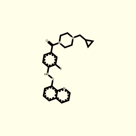 O=C(c1ccc(NSc2cccc3cccnc23)c(F)c1)N1CCN(CC2CC2)CC1